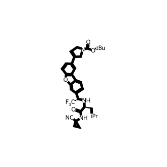 CC(C)C[C@H](N[C@@H](c1ccc2c(c1)oc1ccc(C3=CCN(C(=O)OC(C)(C)C)C3)cc12)C(F)(F)F)C(=O)NC1(C#N)CC1